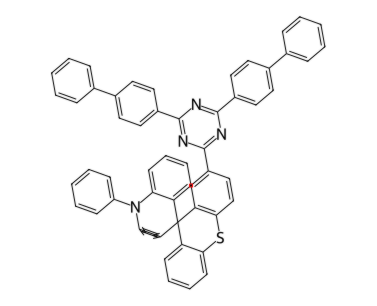 c1ccc(-c2ccc(-c3nc(-c4ccc(-c5ccccc5)cc4)nc(-c4ccc5c(c4)C4(c6ccccc6S5)c5ccccc5N(c5ccccc5)c5ccccc54)n3)cc2)cc1